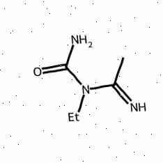 CCN(C(C)=N)C(N)=O